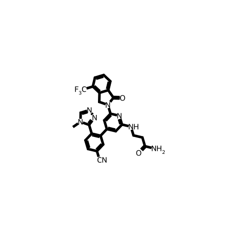 Cn1cnnc1-c1ccc(C#N)cc1-c1cc(NCCC(N)=O)nc(N2Cc3c(cccc3C(F)(F)F)C2=O)c1